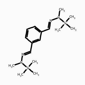 CN(/N=C/c1cccc(/C=N/N(C)[Si](C)(C)C)c1)[Si](C)(C)C